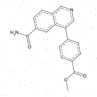 COC(=O)c1ccc(-c2cncc3ccc(C(N)=O)cc23)cc1